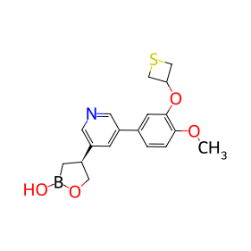 COc1ccc(-c2cncc([C@H]3COB(O)C3)c2)cc1OC1CSC1